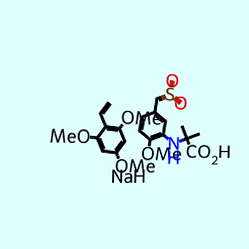 C=Cc1c(OC)cc(OC)cc1OC.COc1ccc(C=S(=O)=O)cc1NC(C)(C)C(=O)O.[NaH]